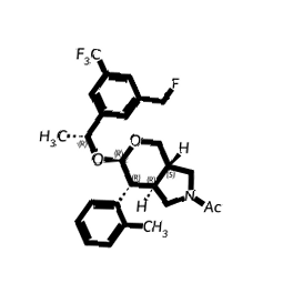 CC(=O)N1C[C@H]2CO[C@H](O[C@H](C)c3cc(CF)cc(C(F)(F)F)c3)[C@@H](c3ccccc3C)[C@@H]2C1